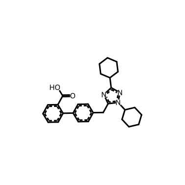 O=C(O)c1ccccc1-c1ccc(Cc2nc(C3CCCCC3)nn2C2CCCCC2)cc1